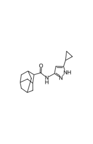 O=C(Nc1cc(C2CC2)[nH]n1)C1C2CC3CC(C2)CC1C3